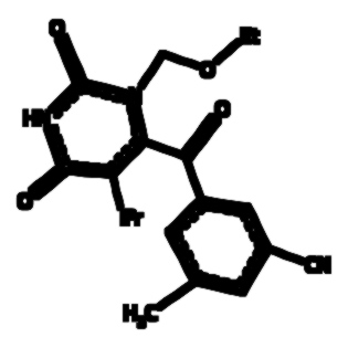 CCOCn1c(C(=O)c2cc(C)cc(C#N)c2)c(C(C)C)c(=O)[nH]c1=O